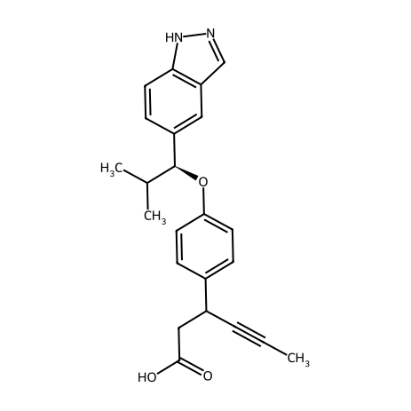 CC#CC(CC(=O)O)c1ccc(O[C@H](c2ccc3[nH]ncc3c2)C(C)C)cc1